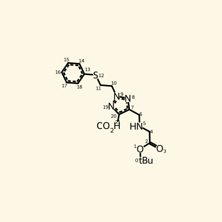 CC(C)(C)OC(=O)CNCc1nn(CCSc2ccccc2)nc1C(=O)O